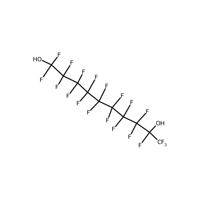 OC(F)(F)C(F)(F)C(F)(F)C(F)(F)C(F)(F)C(F)(F)C(F)(F)C(F)(F)C(O)(F)C(F)(F)F